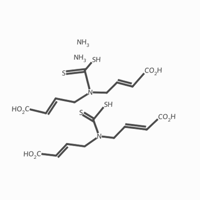 N.N.O=C(O)C=CCN(CC=CC(=O)O)C(=S)S.O=C(O)C=CCN(CC=CC(=O)O)C(=S)S